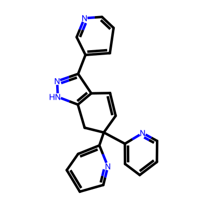 C1=CC(c2ccccn2)(c2ccccn2)Cc2[nH]nc(-c3cccnc3)c21